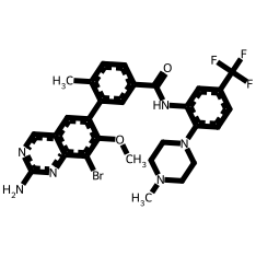 COc1c(-c2cc(C(=O)Nc3cc(C(F)(F)F)ccc3N3CCN(C)CC3)ccc2C)cc2cnc(N)nc2c1Br